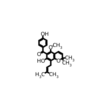 COc1c2c(c(CC=C(C)C)c(O)c1C(=O)c1ccc(O)cc1)OC(C)(C)C=C2